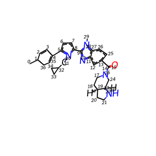 CC1C=CC(c2ccc(-c3nc4cc(C(=O)N5CC[C@H]6CCN[C@H]6C5)ccc4n3C)n2CC2CC2)=CC1